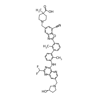 Cc1c(Nc2nc(C(F)F)nc3cc(CN4CC[C@@H](O)C4)cnc23)cccc1-c1cccc(-c2nc3cc(CN4CCC(C)(C(=O)O)CC4)cc(C#N)c3o2)c1C